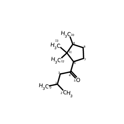 CC(C)CC(=O)C1CCC(C)C1(C)C